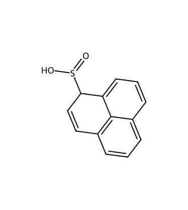 O=S(O)C1C=Cc2cccc3cccc1c23